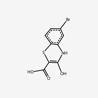 O=C(O)C1=C(O)Nc2cc(Br)ccc2S1